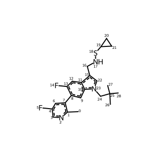 Cc1ncc(F)cc1-c1cc2c(cc1F)c(CNSC1CC1)cn2CC(C)(C)C